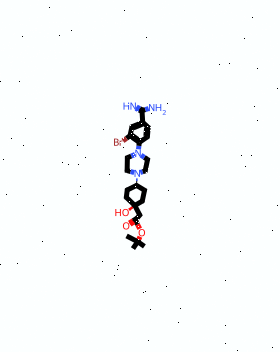 CC(C)(C)OC(=O)C[C@]1(O)CC[C@H](N2CCN(c3ccc(C(=N)N)cc3Br)CC2)CC1